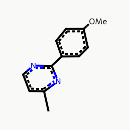 COc1ccc(-c2nccc(C)n2)cc1